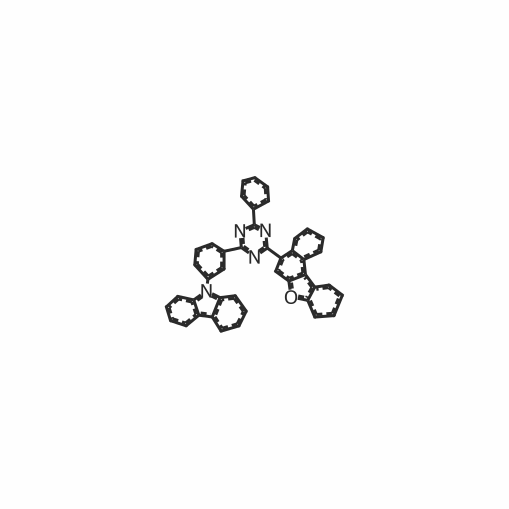 c1ccc(-c2nc(-c3cccc(-n4c5ccccc5c5ccccc54)c3)nc(-c3cc4oc5ccccc5c4c4ccccc34)n2)cc1